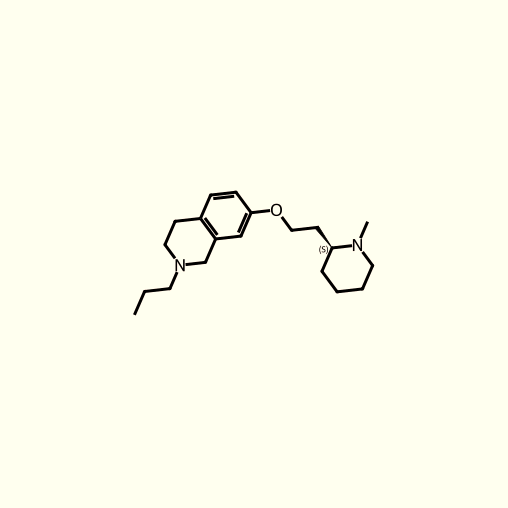 CCCN1CCc2ccc(OCC[C@@H]3CCCCN3C)cc2C1